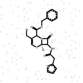 O=C(Cc1cccs1)NC1C(=O)N2C(C(=O)OCc3ccccc3)C(CBr)=CS[C@H]12